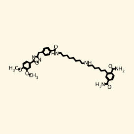 COc1ccc(-c2nc(Cc3ccc(C(=O)NCCCCCCCCNCCCCCCc4cc(C(N)=O)ccc4C(N)=O)cc3)no2)cc1OC